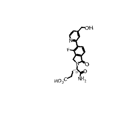 NC(=O)[C@H](CCC(=O)O)N1Cc2c(ccc(-c3cc(CO)ccn3)c2F)C1=O